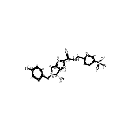 CCS(=O)(=O)c1ccc(CNC(=O)c2nc3c(s2)CN(Cc2ccc(Cl)cc2)[C@H]3C(C)C)nc1